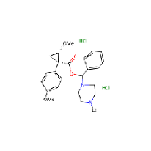 CCN1CCN(C(OC(=O)[C@]2(c3ccc(OC)cc3)C[C@@H]2OC)c2ccccc2)CC1.Cl.Cl